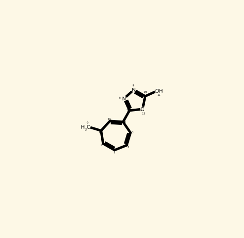 CC1C=CC=CC(c2nnc(O)o2)=C1